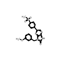 COc1cccc(Cn2c(=O)[nH]c3ncc(-c4ccc(S(C)(=O)=O)cc4)nc32)c1